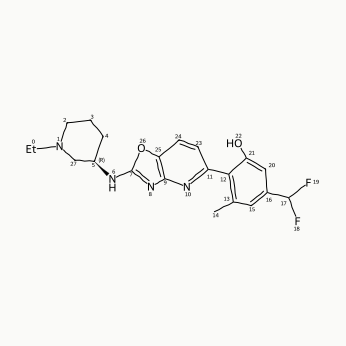 CCN1CCC[C@@H](Nc2nc3nc(-c4c(C)cc(C(F)F)cc4O)ccc3o2)C1